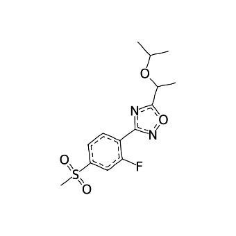 CC(C)OC(C)c1nc(-c2ccc(S(C)(=O)=O)cc2F)no1